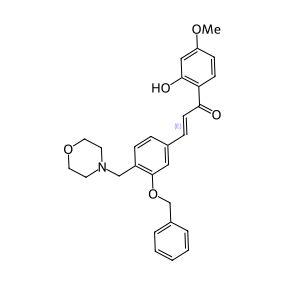 COc1ccc(C(=O)/C=C/c2ccc(CN3CCOCC3)c(OCc3ccccc3)c2)c(O)c1